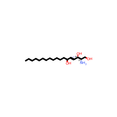 CCCCCCCCCCCCC(O)/C=C/[C@@H](O)[C@@H](N)CO